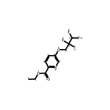 CCOC(=O)c1ccc(OCC(F)(F)C(F)F)cn1